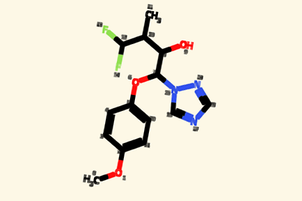 COc1ccc(OC(C(O)C(C)C(F)F)n2cncn2)cc1